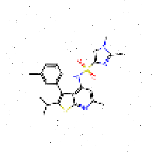 Cc1cccc(-c2c(C(C)C)sc3nc(C)cc(NS(=O)(=O)c4cn(C)c(C)n4)c23)c1